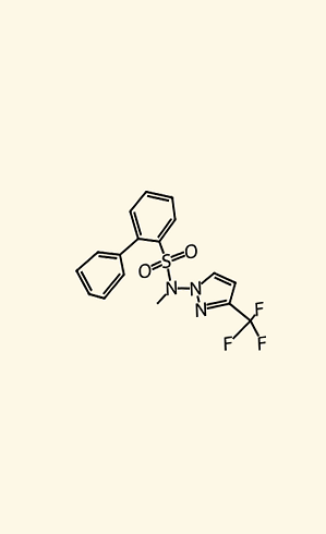 CN(n1ccc(C(F)(F)F)n1)S(=O)(=O)c1ccccc1-c1ccccc1